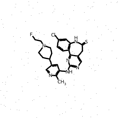 Cc1ncc(C2CCN(CCF)CC2)cc1Nc1ncc2c(n1)-c1ccc(Cl)cc1NC(=S)C2